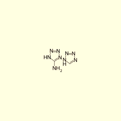 Nc1nnn[nH]1.c1nnn[nH]1